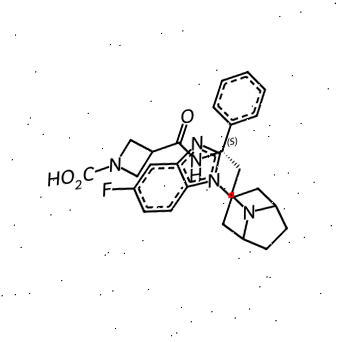 O=C(N[C@@H](CCN1C2CCC1CC(n1cnc3cc(F)ccc31)C2)c1ccccc1)C1CN(C(=O)O)C1